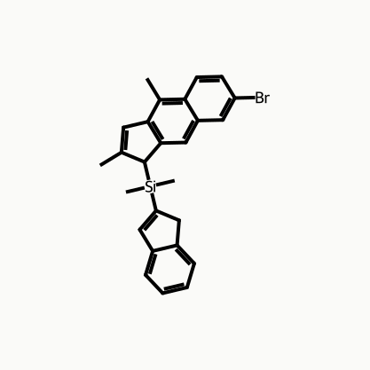 CC1=Cc2c(cc3cc(Br)ccc3c2C)C1[Si](C)(C)C1=Cc2ccccc2C1